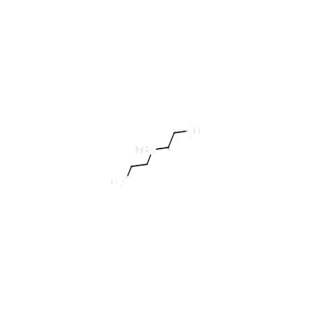 CCC[AsH]CCC